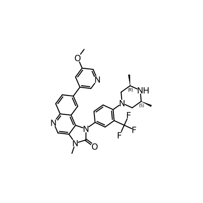 COc1cncc(-c2ccc3ncc4c(c3c2)n(-c2ccc(N3C[C@@H](C)N[C@@H](C)C3)c(C(F)(F)F)c2)c(=O)n4C)c1